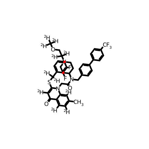 [2H]c1c(C)c([2H])c2c(c1[2H])c(=O)c([2H])c(SC([2H])([2H])c1cccc(F)c1F)n2CC(=O)N(Cc1ccc(-c2ccc(C(F)(F)F)cc2)cc1)C1CCN(C([2H])([2H])COC([2H])([2H])[2H])CC1